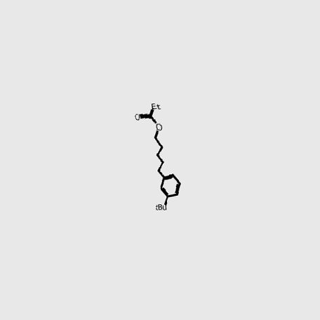 CCC(=O)OCCCCCc1cccc(C(C)(C)C)c1